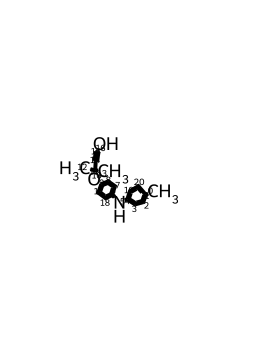 Cc1ccc(Nc2ccc(OC(C)(C)C#CO)cc2)cc1